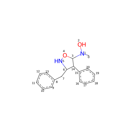 CN(O)C1ONC(Cc2ccccc2)C1c1ccccc1